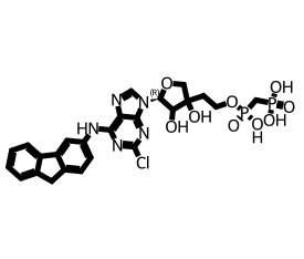 O=P(O)(O)CP(=O)(O)OCCC1(O)CO[C@@H](n2cnc3c(Nc4ccc5c(c4)-c4ccccc4C5)nc(Cl)nc32)C1O